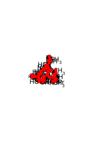 Cc1cc2ccc1Oc1cc3cc(c1OC1O[C@H](COC(=O)N[C@@H](C)c4ccccc4)[C@@H](O)[C@H](O)[C@H]1O)Oc1ccc(cc1Cl)[C@@H](O)[C@@H]1NC(=O)[C@@H](NC(=O)[C@@H]3NC(=O)CNC(=O)[C@H](NC(=O)[C@@H](CC(C)C)N(C)C(=O)OC(C)(C)C)[C@@H]2O)c2ccc(O)c(c2)-c2c(O)cc(O)cc2[C@@H](C(=O)NC2C3CC4CC(C3)CC2C4)NC1=O